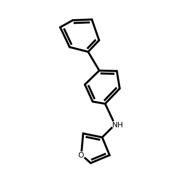 c1ccc(-c2ccc(Nc3ccoc3)cc2)cc1